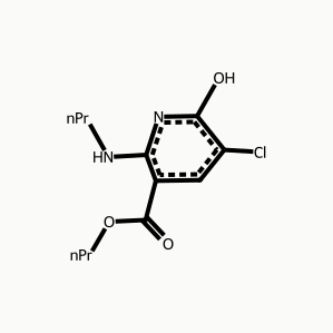 CCCNc1nc(O)c(Cl)cc1C(=O)OCCC